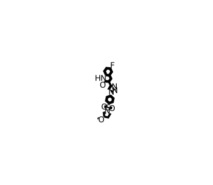 COC1CCN(S(=O)(=O)c2ccc(-n3cc(-c4cc5cc(F)ccc5[nH]c4=O)nn3)cc2)C1